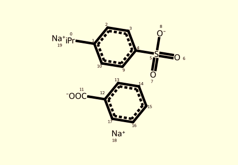 CC(C)c1ccc(S(=O)(=O)[O-])cc1.O=C([O-])c1ccccc1.[Na+].[Na+]